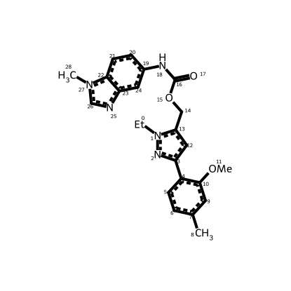 CCn1nc(-c2ccc(C)cc2OC)cc1COC(=O)Nc1ccc2c(c1)ncn2C